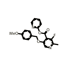 COc1ccc(COc2cnc(C)c(F)c2C(=O)Oc2ccccn2)cc1